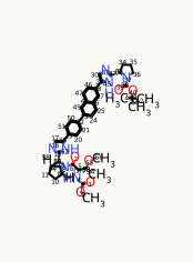 COC(=O)N[C@H](C(=O)N1[C@@H]2CC[C@@H](C2)[C@H]1c1ncc(-c2ccc(-c3ccc4cc(-c5cnc([C@@H]6CCCN6C(=O)OC(C)(C)C)[nH]5)ccc4c3)cc2)[nH]1)[C@@H](C)OC